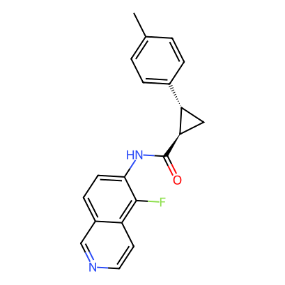 Cc1ccc([C@@H]2C[C@H]2C(=O)Nc2ccc3cnccc3c2F)cc1